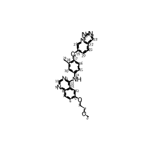 COCCOc1ccc2ncnc(Nc3ccc(Oc4ccc5cnnn5c4)c(C)c3)c2c1